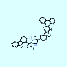 C=C(/C=C\C=C(/C)c1cccc2c1sc1ccccc12)c1ccc2oc3nc4c5ccccc5c5ccccc5c4nc3c2c1